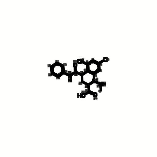 CNN1c2cc(Cl)cc(Cl)c2C(C(=O)Nc2ccccc2)CC1C(=O)O